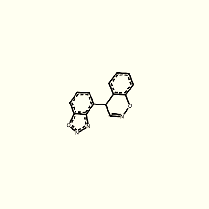 [C]1=NOc2ccccc2C1c1cccc2onnc12